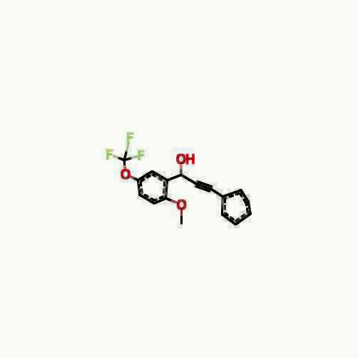 COc1ccc(OC(F)(F)F)cc1C(O)C#Cc1ccccc1